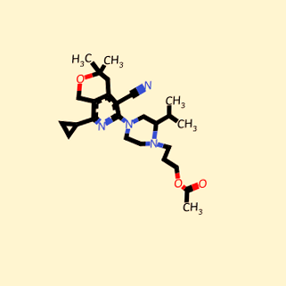 CC(=O)OCCCN1CCN(c2nc(C3CC3)c3c(c2C#N)CC(C)(C)OC3)CC1C(C)C